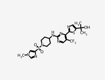 Cn1cnc(S(=O)(=O)N2CCC(Nc3ncc(C(F)(F)F)c(-c4ncc(C(C)(C)O)s4)n3)CC2)c1